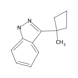 CC1(C2=N[N]c3ccccc32)CCC1